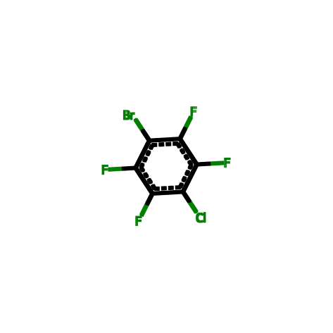 Fc1c(F)c(Br)c(F)c(F)c1Cl